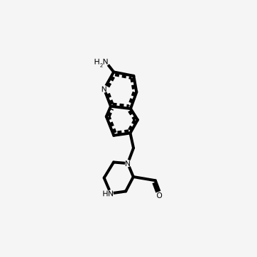 Nc1ccc2cc(CN3CCNCC3C=O)ccc2n1